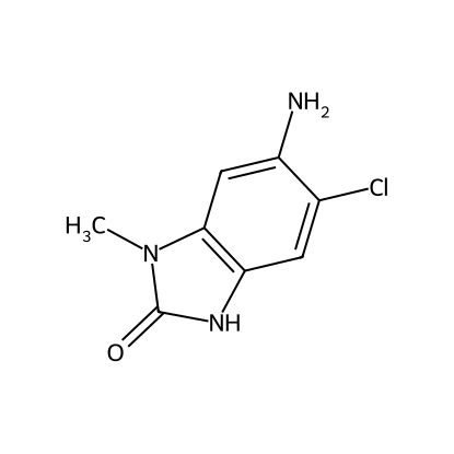 Cn1c(=O)[nH]c2cc(Cl)c(N)cc21